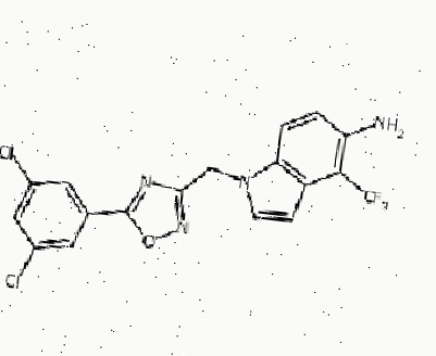 Nc1ccc2c(ccn2Cc2noc(-c3cc(Cl)cc(Cl)c3)n2)c1C(F)(F)F